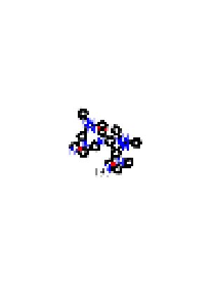 CC(C)(C)c1ccc2c3ccccc3n(-c3cc(-c4nc(-c5ccccc5)nc(-c5ccccc5)n4)c(-c4ccc5c6ccccc6n(-c6ccc7c8ccccc8n(-c8cc(-c9nc(-c%10ccccc%10)nc(-c%10ccccc%10)n9)ccc8-c8ccncc8)c7c6)c5c4)cc3-c3ccncc3)c2c1